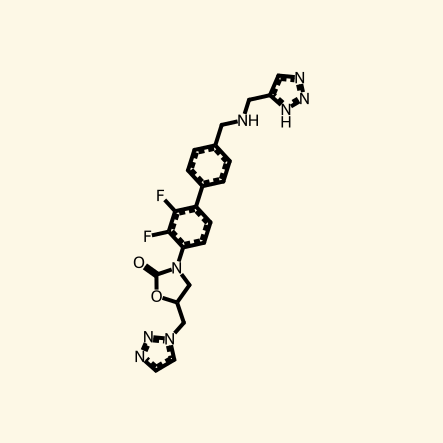 O=C1OC(Cn2ccnn2)CN1c1ccc(-c2ccc(CNCc3cnn[nH]3)cc2)c(F)c1F